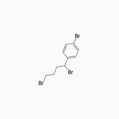 BrCCCC(Br)c1ccc(Br)cc1